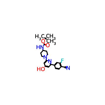 CC(C)(C)OC(=O)NC1CCN(c2cc(O)cc(-c3ccc(C#N)c(F)c3)n2)CC1